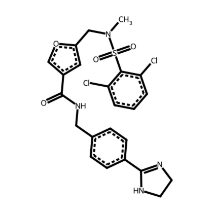 CN(Cc1cc(C(=O)NCc2ccc(C3=NCCN3)cc2)co1)S(=O)(=O)c1c(Cl)cccc1Cl